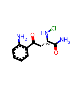 NC(=O)[C@H](CC(=O)c1ccccc1N)NCl